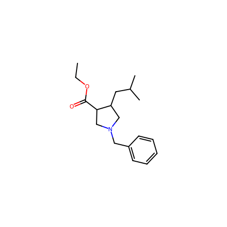 CCOC(=O)C1CN(Cc2ccccc2)CC1CC(C)C